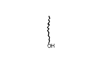 CCCCC=CCCCCCCCCCO